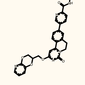 CNC(=O)c1ccc(-c2ccc3c(c2)CCn2c-3cc(OCC3COc4ncccc4O3)nc2=O)cn1